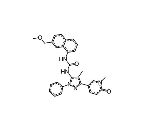 COCc1ccc2cccc(NC(=O)Nc3c(C)c(-c4ccc(=O)n(C)c4)nn3-c3ccccc3)c2c1